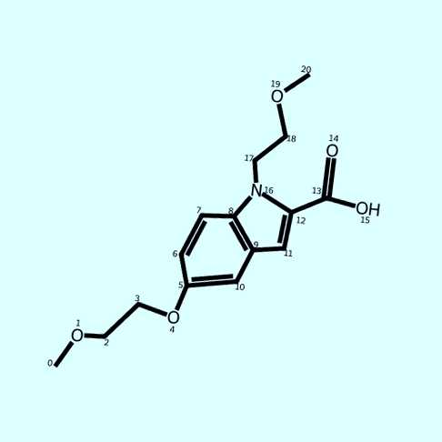 COCCOc1ccc2c(c1)cc(C(=O)O)n2CCOC